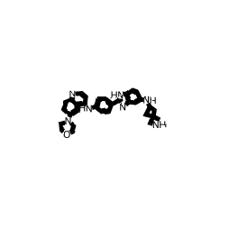 c1cc(Nc2ccc(-c3nc4cc(NC5CC6(CNC6)C5)ccc4[nH]3)cc2)c2cc(N3CCOCC3)ccc2n1